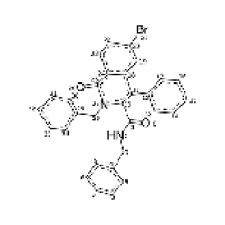 O=C(NCc1ccccc1)c1c(-c2ccccc2)c2cc(Br)ccc2c(=O)n1Cc1ccccc1